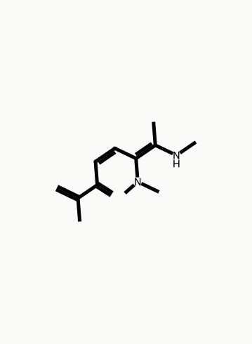 C=C(C)C(=C)/C=C\C(=C(/C)NC)N(C)C